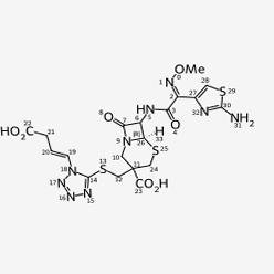 CON=C(C(=O)NC1C(=O)N2CC(CSc3nnnn3C=CCC(=O)O)(C(=O)O)CS[C@H]12)c1csc(N)n1